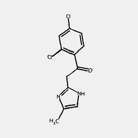 Cc1c[nH]c(CC(=O)c2ccc(Cl)cc2Cl)n1